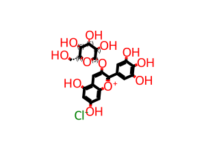 OC[C@H]1O[C@@H](Oc2cc3c(O)cc(O)cc3[o+]c2-c2cc(O)c(O)c(O)c2)[C@H](O)[C@@H](O)[C@@H]1O.[Cl-]